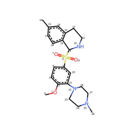 COc1ccc(S(=O)(=O)C2NCCc3cc(C)ccc32)cc1N1CCN(C)CC1